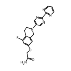 NC(=O)COc1cc(F)c2c(c1)CN(c1cnc(-c3ncccn3)nc1)CC2